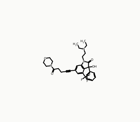 CCN(CC)CCN1C(=O)C(O)(c2ccccc2)c2c1cc(C#CCCC(=O)N1CCOCC1)cc2C(F)(F)F